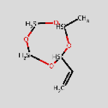 C=C[SiH]1O[SiH2]O[SiH2]O[SiH](C)O1